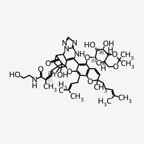 CC(C)=CCCC1(C)C=Cc2c(c(CC=C(C)C)c3c(c2O[C@@H]2O[C@@H]4COC(C)(C)O[C@H]4[C@H](O)[C@H]2O)C2=C4C(C5CC(C(C)C)C4(O3)C(O)(C/C=C(/C)C(=O)NCCO)C5=O)n3ncnc3N2)O1